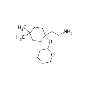 CC1(C)CCC(CCN)(OC2CCCCO2)CC1